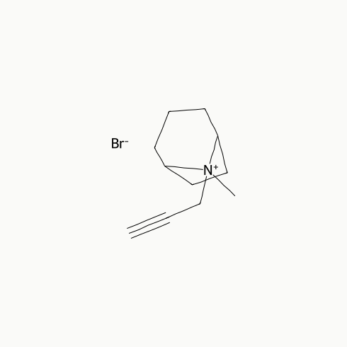 C#CC[N+]1(C)C2CCCC1CC2.[Br-]